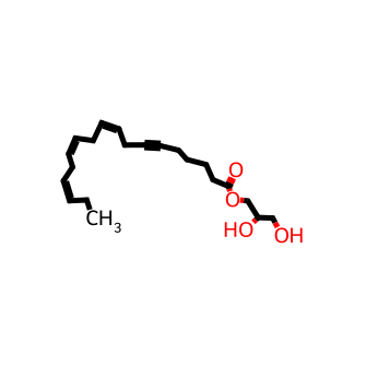 CC/C=C\C/C=C\C/C=C\CC#CCCCCC(=O)OCC(O)CO